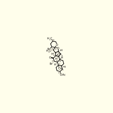 CC(=O)O[C@H]1CC[C@@]2(C)[C@@H](CC[C@@H]3[C@@H]2[C@H](Br)C(=O)[C@]2(C)[C@@H]4[C@H](C[C@@H]32)O[C@@]2(OC[C@H](C)CC2Br)[C@H]4C)C1